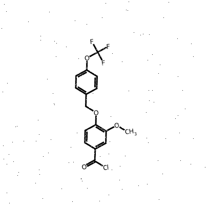 COc1cc(C(=O)Cl)ccc1OCc1ccc(OC(F)(F)F)cc1